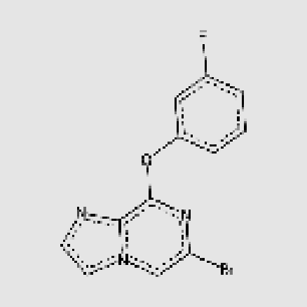 Fc1cccc(Oc2nc(Br)cn3ccnc23)c1